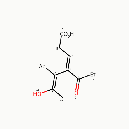 CCC(=O)C(=C/CC(=O)O)/C(C(C)=O)=C(\C)O